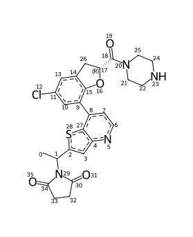 CC(c1cc2nccc(-c3cc(Cl)cc4c3O[C@@H](C(=O)N3CCNCC3)C4)c2s1)N1C(=O)CCC1=O